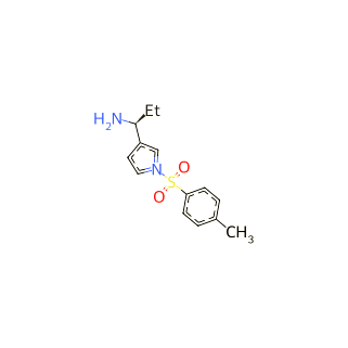 CC[C@H](N)c1ccn(S(=O)(=O)c2ccc(C)cc2)c1